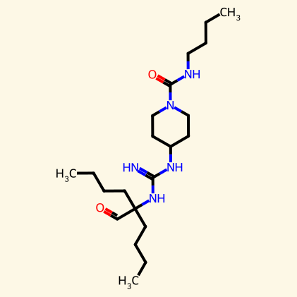 CCCCNC(=O)N1CCC(NC(=N)NC(C=O)(CCCC)CCCC)CC1